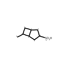 CC1C[C]2CC(S(=O)(=O)O)CC21